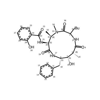 CCC(C)C1NC(=O)[C@H](C)[C@H](O)[C@H](Cc2ccccc2)NC(=O)[C@@H](NC(=O)c2ncccc2O)[C@@H](C)N(C)C1=O